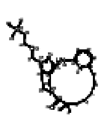 CC1(C)CCCCCc2cccc(n2)Nc2nn(COCC[Si](C)(C)C)c3c2CN(C3)C1=O